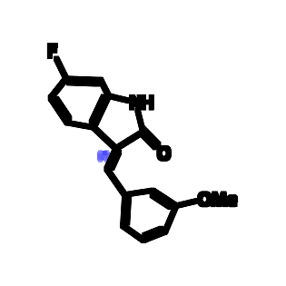 COc1cccc(/C=C2\C(=O)Nc3cc(F)ccc32)c1